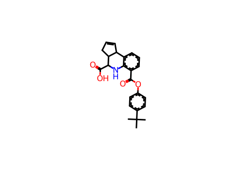 CC(C)(C)c1ccc(OC(=O)c2cccc3c2NC(C(=O)O)C2CC=CC32)cc1